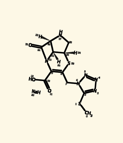 CSc1nnnn1CC1=C(C(=O)O)N2C(=O)[C@H]3NC[C@@H](S1)[C@H]32.[NaH]